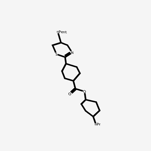 CCCCCC1CN=C(C2CCC(C(=O)OC3CCC(CCC)CC3)CC2)SC1